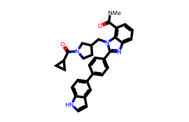 CNC(=O)c1cccc2nc(-c3ccc(-c4ccc5[nH]ccc5c4)cc3)n(CC3CCN(C(=O)C4CC4)C3)c12